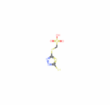 O=S(=O)(O)CSc1nnc(S)s1